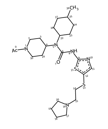 CC(=O)N1CCC(N(C(=O)Nc2ncc(SCCN3CCCC3)s2)C2CCC(C)CC2)CC1